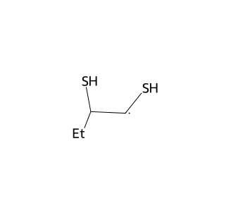 CCC(S)[CH]S